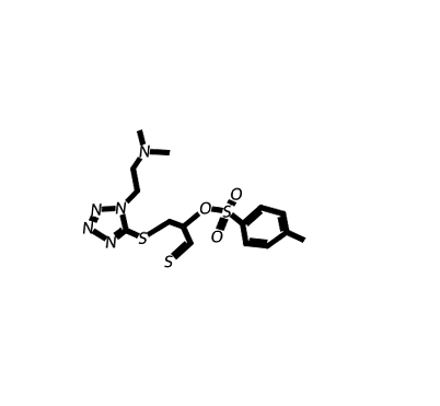 Cc1ccc(S(=O)(=O)OC(C=S)CSc2nnnn2CCN(C)C)cc1